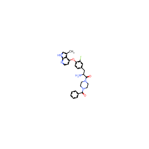 Cc1c[nH]c2nccc(Oc3ccc(CC(N)C(=O)N4CCN(C(=O)c5ccccc5)CC4)cc3F)c12